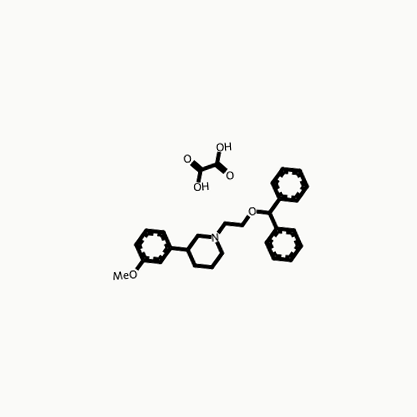 COc1cccc(C2CCCN(CCOC(c3ccccc3)c3ccccc3)C2)c1.O=C(O)C(=O)O